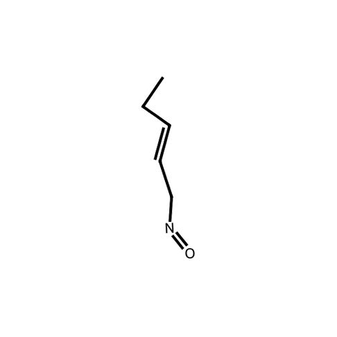 CC/C=C/CN=O